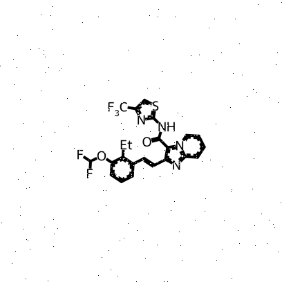 CCc1c(/C=C/c2nc3ccccn3c2C(=O)Nc2nc(C(F)(F)F)cs2)cccc1OC(F)F